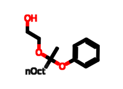 CCCCCCCCC(C)(OCCO)Oc1ccccc1